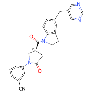 N#Cc1cccc(N2C[C@@H](C(=O)N3CCc4cc(Cc5cncnc5)ccc43)CC2=O)c1